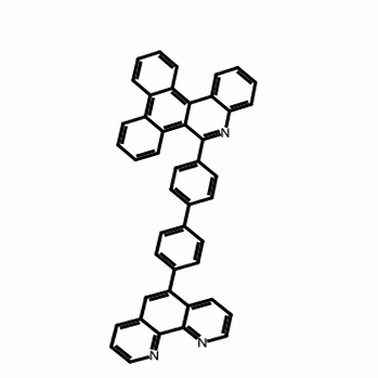 c1cnc2c(c1)cc(-c1ccc(-c3ccc(-c4nc5ccccc5c5c6ccccc6c6ccccc6c45)cc3)cc1)c1cccnc12